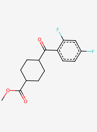 COC(=O)C1CCC(C(=O)c2ccc(F)cc2F)CC1